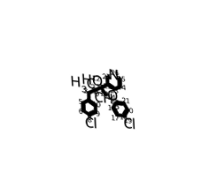 CC(C)(Cc1ccc(Cl)cc1)C(O)(COc1ccc(Cl)cc1)c1cccnc1